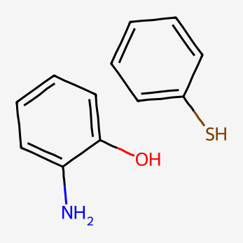 Nc1ccccc1O.Sc1ccccc1